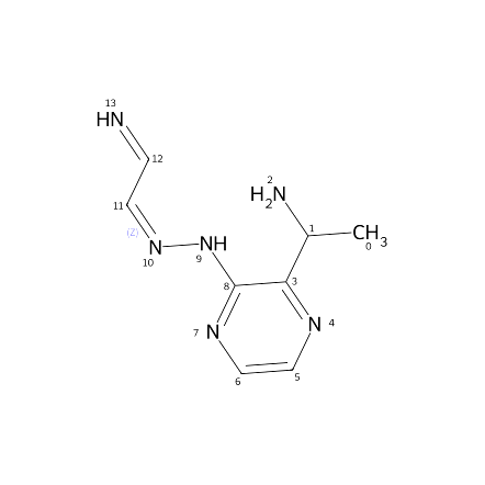 CC(N)c1nccnc1N/N=C\C=N